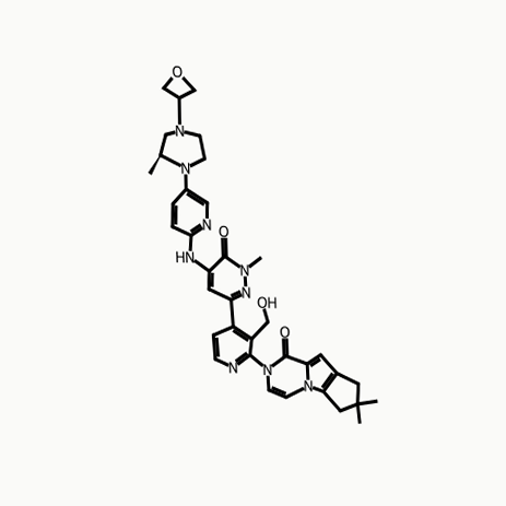 C[C@H]1CN(C2COC2)CCN1c1ccc(Nc2cc(-c3ccnc(-n4ccn5c6c(cc5c4=O)CC(C)(C)C6)c3CO)nn(C)c2=O)nc1